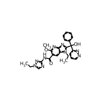 CCn1cnc(NC(=O)c2cc3c(nc2OC)nc(C(O)(c2ccccc2)c2cccnn2)n3CC)n1